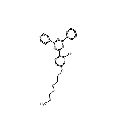 CCCCOCCOc1ccc(-c2nc(-c3ccccc3)nc(-c3ccccc3)n2)c(O)c1